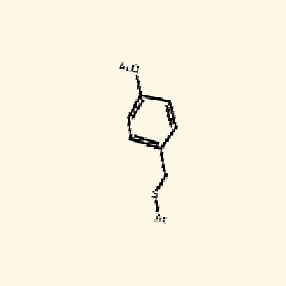 CC(=O)Oc1ccc(CSC(C)=O)cc1